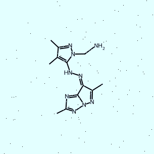 CC1=Nn2nc(C)nc2/C1=N\Nc1c(C)c(C)nn1CN